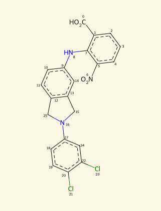 O=C(O)c1cccc([N+](=O)[O-])c1Nc1ccc2c(c1)CN(c1ccc(Cl)c(Cl)c1)C2